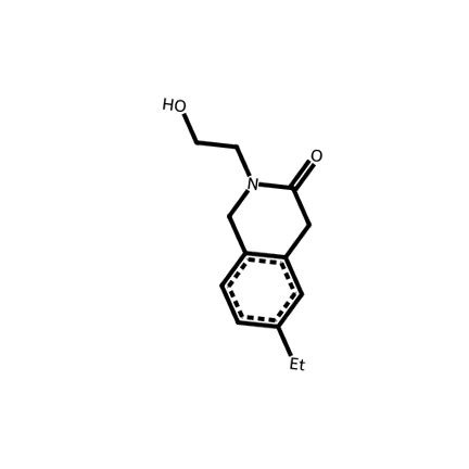 CCc1ccc2c(c1)CC(=O)N(CCO)C2